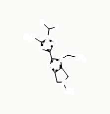 CCn1c(-c2nc(C)n(C(F)F)n2)nc2c1CN(O)C2